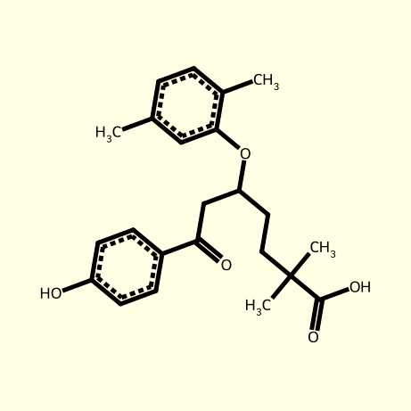 Cc1ccc(C)c(OC(CCC(C)(C)C(=O)O)CC(=O)c2ccc(O)cc2)c1